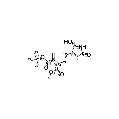 COC(=O)[C@H](CSC1=CC(=O)NC1O)NC(=O)OC(C)(C)C